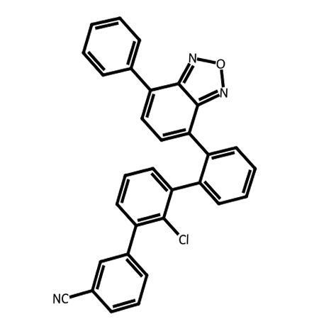 N#Cc1cccc(-c2cccc(-c3ccccc3-c3ccc(-c4ccccc4)c4nonc34)c2Cl)c1